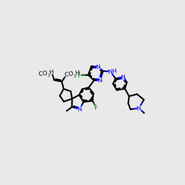 CC1=Nc2c(F)cc(-c3nc(Nc4ccc(C5CCN(C)CC5)cn4)ncc3F)cc2C12CCC(/C(=C/C(=O)O)C(=O)O)C2